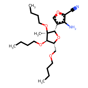 CCCCOC[C@H]1O[C@@H](c2coc(C#N)c2N)[C@](C)(OCCCC)[C@@H]1OCCCC